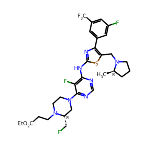 CCOC(=O)CCN1CCN(c2ncnc(Nc3nc(-c4cc(F)cc(C(F)(F)F)c4)c(CN4CCC[C@H]4C)s3)c2F)C[C@@H]1CF